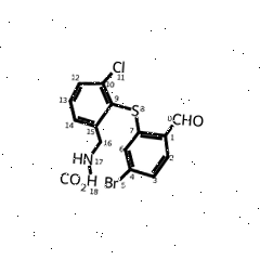 O=Cc1ccc(Br)cc1Sc1c(Cl)cccc1CNC(=O)O